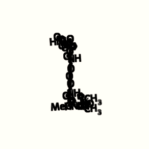 COc1cc(C(=O)NCCCOCCOCCOCCCNC(=O)COc2cccc3c2C(=O)N(C2CCC(=O)NC2=O)C3=O)ccc1Nc1ccc2c(c1)N(C1CCCC1)[C@H](C)C(=O)N2C